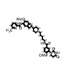 COc1cc2nn(C3CCN(CCCCCNC(=O)c4ccc(OC)c(N5CCC(=O)NC5=O)c4)CC3)cc2cc1NC(=O)c1cccc(C)n1